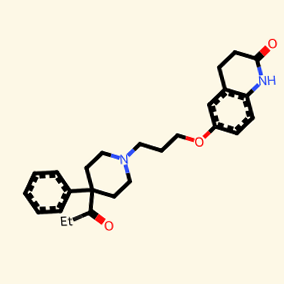 CCC(=O)C1(c2ccccc2)CCN(CCCOc2ccc3c(c2)CCC(=O)N3)CC1